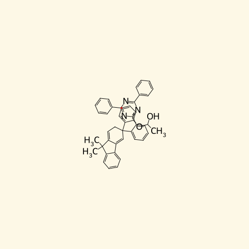 CC(O)Oc1ccccc1C1(c2ccccc2-c2nc(-c3ccccc3)nc(-c3ccccc3)n2)C=C2C(=CC1)C(C)(C)c1ccccc12